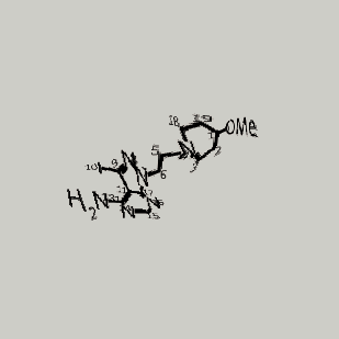 COC1CCN(CCn2nc(I)c3c(N)ncnc32)CC1